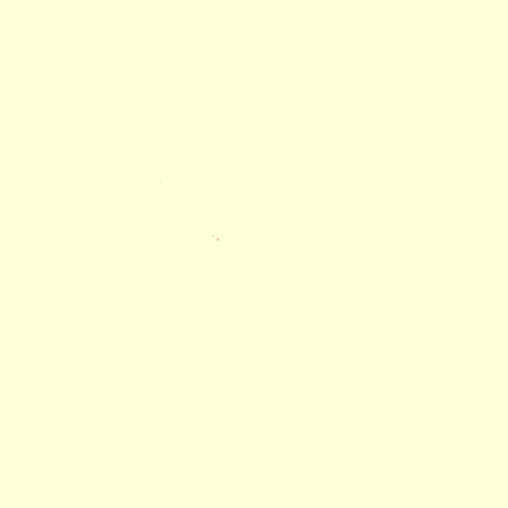 CC/C=C(\NCCC)c1ccccc1